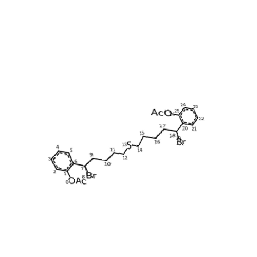 CC(=O)Oc1ccccc1C(Br)CCCCSCCCCC(Br)c1ccccc1OC(C)=O